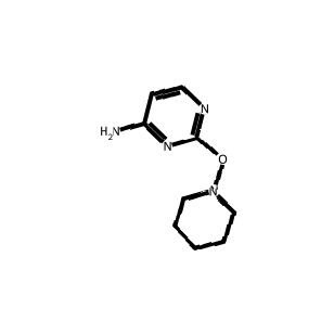 Nc1ccnc(ON2CCCCC2)n1